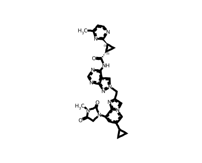 Cc1ccnc([C@H]2C[C@@H]2C(=O)Nc2ncnc3nn(Cc4cn5cc(C6CC6)cc(N6CC(=O)N(C)C6=O)c5n4)cc23)n1